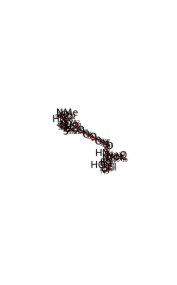 C=CC(=O)N1CCN(c2nc(NCCC(=O)N(C)CCOCCOCCOCCOc3ccc(-c4csc([C@@H]5CCCN5C(=O)[C@@H](NC(=O)[C@H](C)NC)C5CCCCC5)n4)c4ccccc34)nc3c(F)c(-c4c(O)cccc4F)c(Cl)cc23)CC1